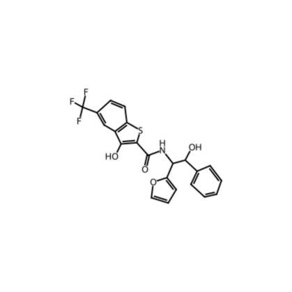 O=C(NC(c1ccco1)C(O)c1ccccc1)c1sc2ccc(C(F)(F)F)cc2c1O